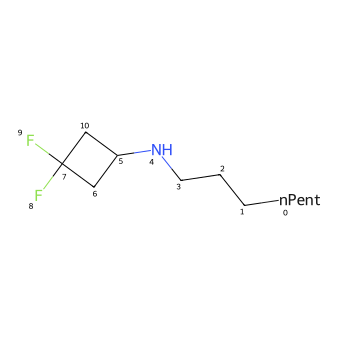 CCCCCCCCNC1CC(F)(F)C1